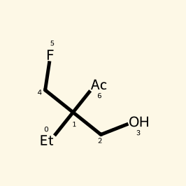 CCC(CO)(CF)C(C)=O